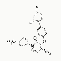 Cc1ccc(-n2ncc(N)c(Oc3ccc(-c4ccc(F)cc4F)cc3)c2=O)cc1